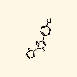 Clc1ccc(-c2csc(-c3cccs3)n2)cc1